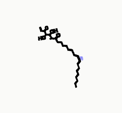 C=CC(=O)C(O)C(O)[CH]C(=O)CCCCCCC/C=C\CCCCCCCC